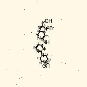 CC(C)n1c(CO)nc2cnc(Nc3ccnc(N4CCC(C)(O)CC4)n3)cc21